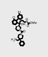 CCc1cccc(-c2c(Cl)cccc2[C@](O)(CCCNC(=O)OC)[C@@H]2CCCN(C(=O)N3CCC(CN)(c4ccccc4)CC3)C2)c1